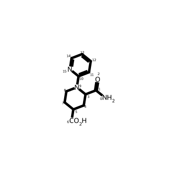 NC(=O)C1CC(C(=O)O)CCN1c1ccccn1